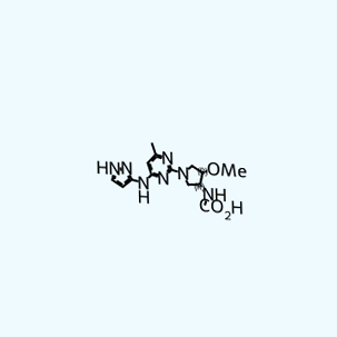 CO[C@@H]1CN(c2nc(C)cc(Nc3cc[nH]n3)n2)C[C@H]1NC(=O)O